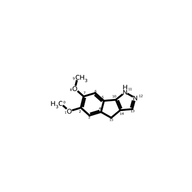 COc1cc2c(cc1OC)-c1[nH]ncc1C2